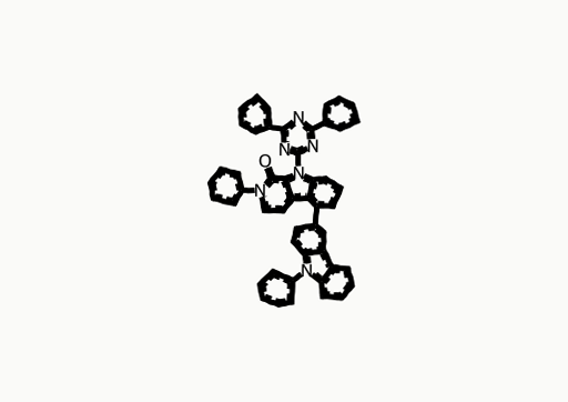 O=c1c2c(ccn1-c1ccccc1)c1c(-c3ccc4c(c3)c3ccccc3n4-c3ccccc3)cccc1n2-c1nc(-c2ccccc2)nc(-c2ccccc2)n1